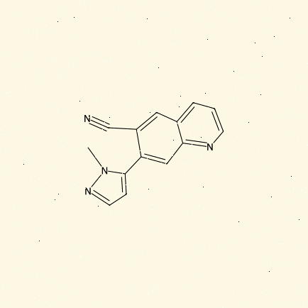 Cn1nccc1-c1cc2ncccc2cc1C#N